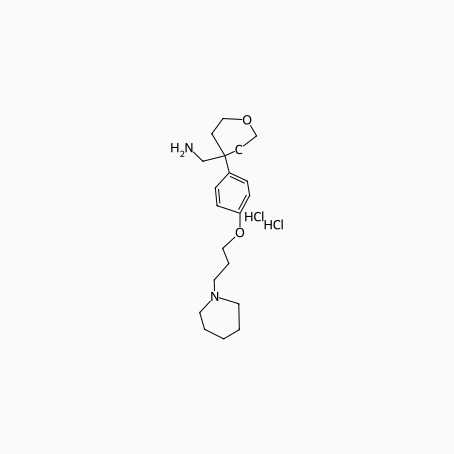 Cl.Cl.NCC1(c2ccc(OCCCN3CCCCC3)cc2)CCOCC1